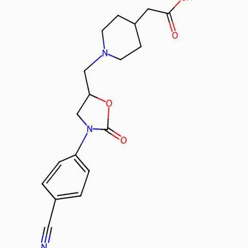 N#Cc1ccc(N2CC(CN3CCC(CC(=O)O)CC3)OC2=O)cc1